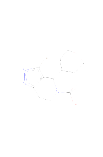 O=C(O)N1CCc2[nH]nc(Br)c2C1C1CCOCC1